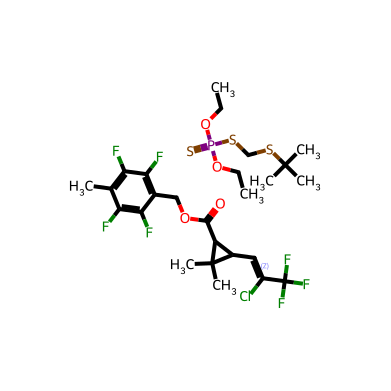 CCOP(=S)(OCC)SCSC(C)(C)C.Cc1c(F)c(F)c(COC(=O)C2C(/C=C(\Cl)C(F)(F)F)C2(C)C)c(F)c1F